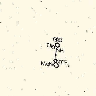 CCOc1cc(S(C)(=O)=O)ccc1NCC#Cc1cc2c(NC)cccc2n1CC(F)(F)F